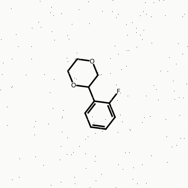 Fc1ccccc1C1CO[CH]CO1